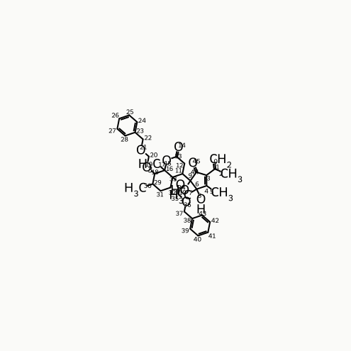 C=C(C)C1=C(C)C(C)(O)C(O)(C2CC(=O)OC3(C)C(OCOCc4ccccc4)C(C)CCC23OCOCc2ccccc2)C1=O